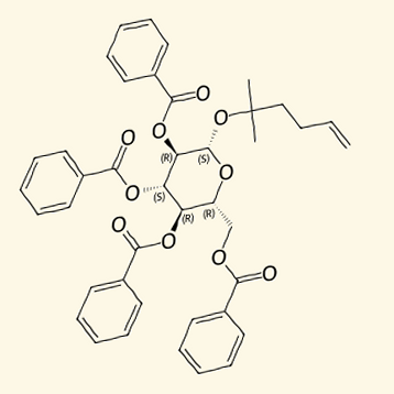 C=CCCC(C)(C)O[C@@H]1O[C@H](COC(=O)c2ccccc2)[C@@H](OC(=O)c2ccccc2)[C@H](OC(=O)c2ccccc2)[C@H]1OC(=O)c1ccccc1